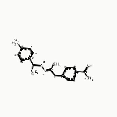 CC(=O)c1ccc(C/C(C)=N/N=C(\C)c2ccc(C)cc2)cc1